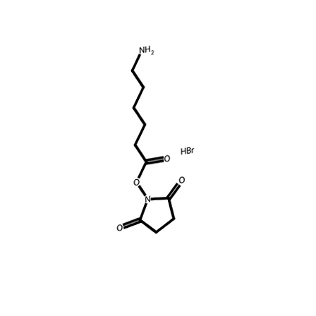 Br.NCCCCCC(=O)ON1C(=O)CCC1=O